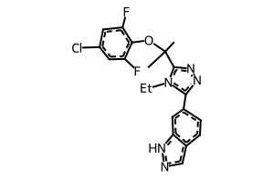 CCn1c(-c2ccc3cn[nH]c3c2)nnc1C(C)(C)Oc1c(F)cc(Cl)cc1F